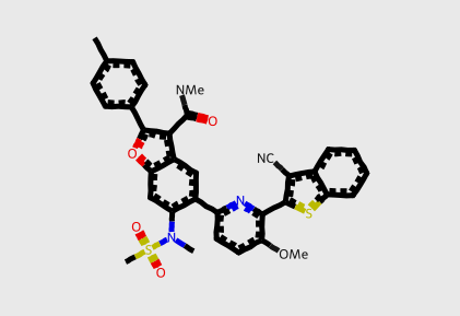 CNC(=O)c1c(-c2ccc(C)cc2)oc2cc(N(C)S(C)(=O)=O)c(-c3ccc(OC)c(-c4sc5ccccc5c4C#N)n3)cc12